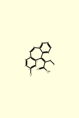 CC/C(C(=O)O)=C1\c2ccccc2C=Cc2ccc(Cl)cc21